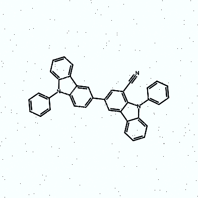 N#Cc1cc(-c2ccc3c(c2)c2ccccc2n3-c2ccccc2)cc2c3ccccc3n(-c3ccccc3)c12